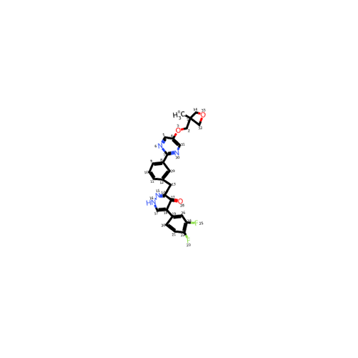 CC1(COc2cnc(-c3cccc(Cc4n[nH]cc(-c5ccc(F)c(F)c5)c4=O)c3)nc2)COC1